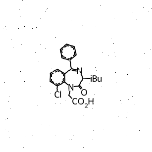 CCC(C)[C@@H]1N=C(c2ccccc2)c2cccc(Cl)c2N(CC(=O)O)C1=O